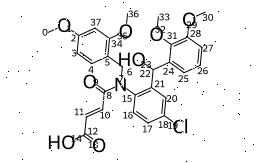 COc1ccc(CN(C(=O)/C=C/C(=O)O)c2ccc(Cl)cc2C(O)c2cccc(OC)c2OC)c(OC)c1